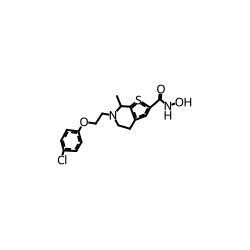 CC1c2sc(C(=O)NO)cc2CCN1CCOc1ccc(Cl)cc1